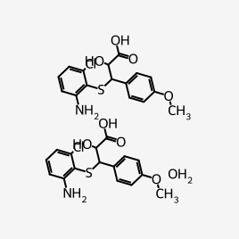 COc1ccc(C(Sc2c(N)cccc2Cl)C(O)C(=O)O)cc1.COc1ccc(C(Sc2c(N)cccc2Cl)C(O)C(=O)O)cc1.O